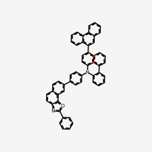 c1ccc(-c2nc3ccc4ccc(-c5ccc(N(c6ccc(-c7cc8ccccc8c8ccccc78)cc6)c6ccccc6-c6ccccc6)cc5)cc4c3o2)cc1